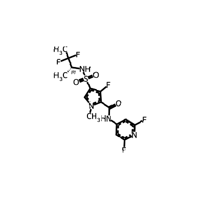 C[C@@H](NS(=O)(=O)c1cn(C)c(C(=O)Nc2cc(F)nc(F)c2)c1F)C(C)(F)F